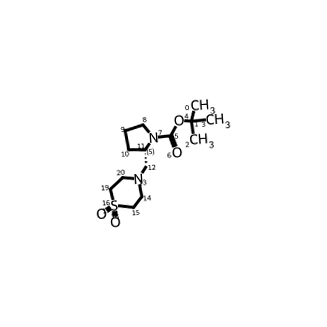 CC(C)(C)OC(=O)N1CCC[C@H]1CN1CCS(=O)(=O)CC1